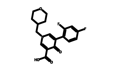 O=C(O)c1cn(CC2CCOCC2)cc(-c2ccc(F)cc2F)c1=O